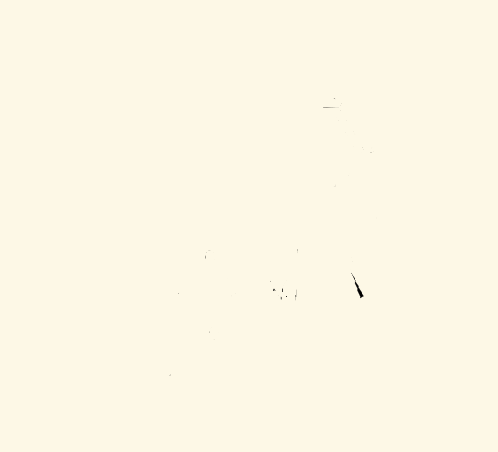 CC(C)=CCC[C@@H](C)CNC(=O)OC(C)(C)C